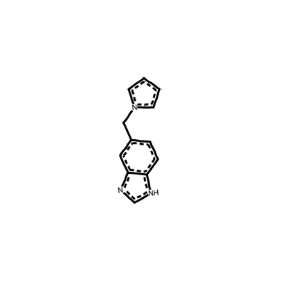 [c]1ccn(Cc2ccc3[nH]cnc3c2)c1